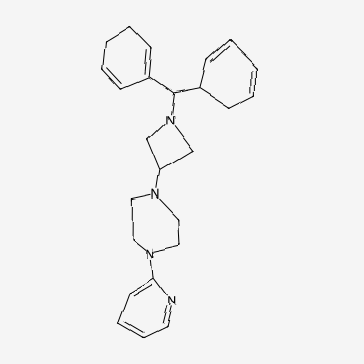 C1=CCC(C(C2=CCCC=C2)N2CC(N3CCN(c4ccccn4)CC3)C2)C=C1